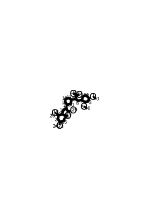 COc1cc(OC)c2cc(-c3cccc(-c4cc5c(OC)cc(OC)cc5oc4=O)c3)c(=O)oc2c1